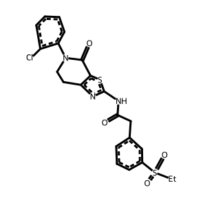 CCS(=O)(=O)c1cccc(CC(=O)Nc2nc3c(s2)C(=O)N(c2ccccc2Cl)CC3)c1